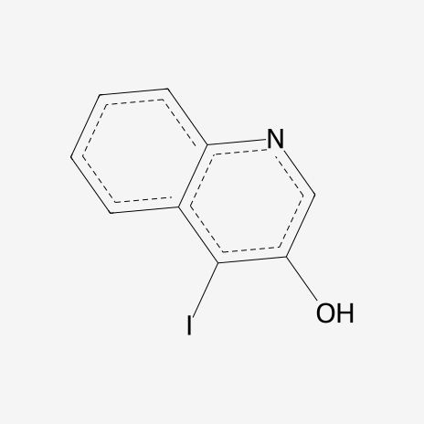 Oc1cnc2ccccc2c1I